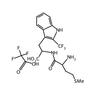 CSCCC(N)C(=O)NC(Cc1c(C(F)(F)F)[nH]c2ccccc12)C(=O)O.O=C(O)C(F)(F)F